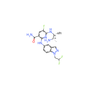 CCC[C@@H](Nc1nc(Nc2ccc3c(cnn3CC(F)F)c2)c(C(N)=O)cc1F)[C@H](C)N